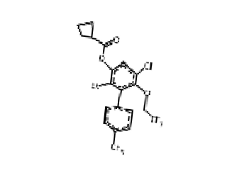 CCc1c(OC(=O)C2CCC2)cc(Cl)c(OCC(F)(F)F)c1-c1ccc(C(F)(F)F)cc1